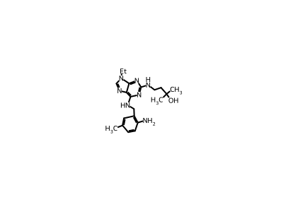 CCn1cnc2c(NCc3cc(C)ccc3N)nc(NCCC(C)(C)O)nc21